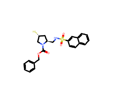 O=C(OCc1ccccc1)N1C[C@H](S)C[C@H]1CNS(=O)(=O)c1ccc2ccccc2c1